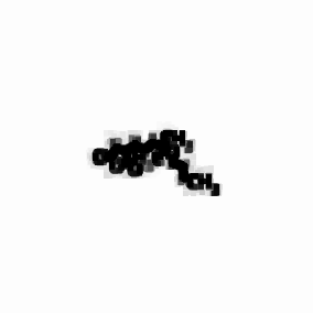 CCCCO[Si](C)(C)CCCC1CC(=O)OC1=O